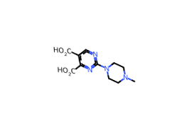 CN1CCN(c2ncc(C(=O)O)c(C(=O)O)n2)CC1